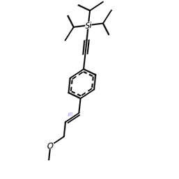 COC/C=C/c1ccc(C#C[Si](C(C)C)(C(C)C)C(C)C)cc1